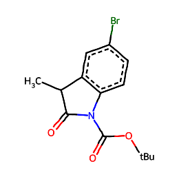 CC1C(=O)N(C(=O)OC(C)(C)C)c2ccc(Br)cc21